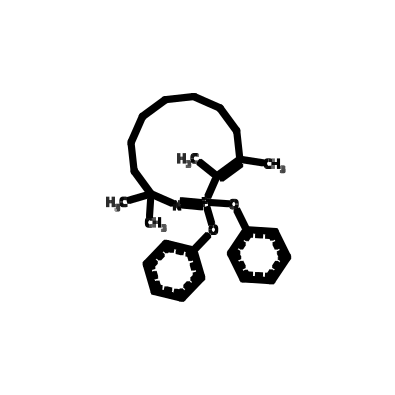 C/C1=C(/C)P(Oc2ccccc2)(Oc2ccccc2)=NC(C)(C)CCCCCCC1